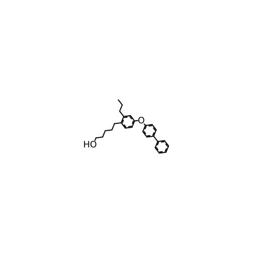 CCCc1cc(Oc2ccc(-c3ccccc3)cc2)ccc1CCCCCO